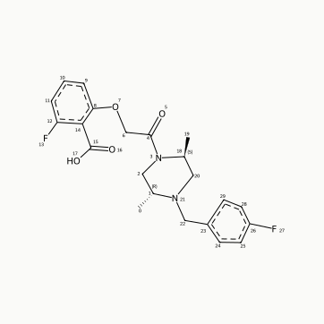 C[C@@H]1CN(C(=O)COc2cccc(F)c2C(=O)O)[C@@H](C)CN1Cc1ccc(F)cc1